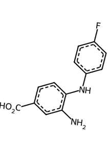 Nc1cc(C(=O)O)ccc1Nc1ccc(F)cc1